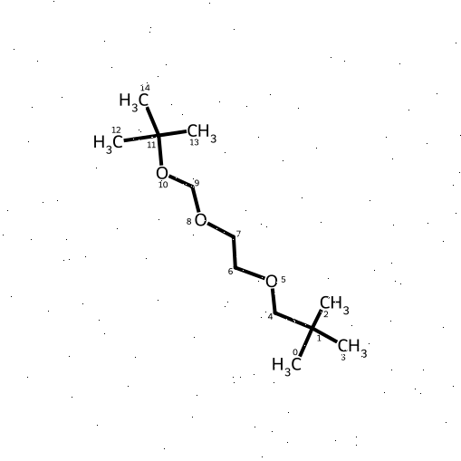 CC(C)(C)COCCOCOC(C)(C)C